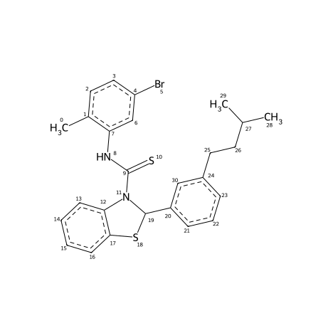 Cc1ccc(Br)cc1NC(=S)N1c2ccccc2SC1c1cccc(CCC(C)C)c1